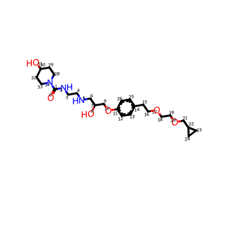 O=C(NCCNCC(O)COc1ccc(CCOCCOCC2CC2)cc1)N1CCC(O)CC1